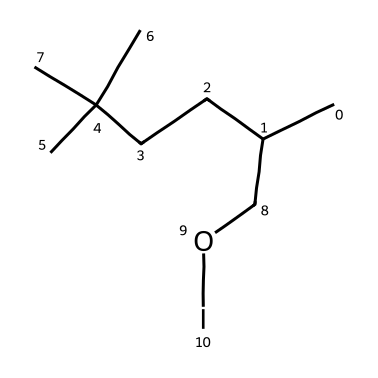 CC(CCC(C)(C)C)COI